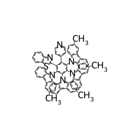 Cc1ccc2c(c1)c1ccccc1n2-c1c(-c2ccncc2)c(-c2nc3ccccc3s2)c(-n2c3ccccc3c3cc(C)ccc32)c(-n2c3ccccc3c3cc(C)ccc32)c1-n1c2ccccc2c2cc(C)ccc21